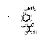 CN(C(=O)C(=O)O)c1ccc(CN)cc1